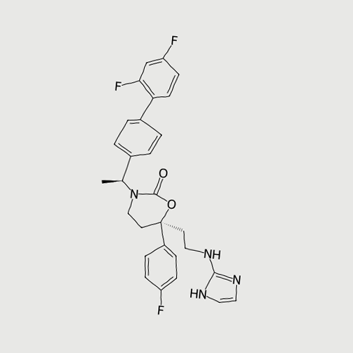 C[C@@H](c1ccc(-c2ccc(F)cc2F)cc1)N1CC[C@](CCNc2ncc[nH]2)(c2ccc(F)cc2)OC1=O